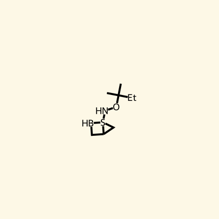 CCC(C)(C)ONS12BCC1C2